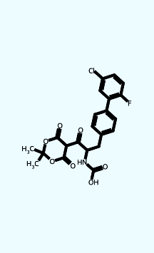 CC1(C)OC(=O)C(C(=O)C(Cc2ccc(-c3cc(Cl)ccc3F)cc2)NC(=O)O)C(=O)O1